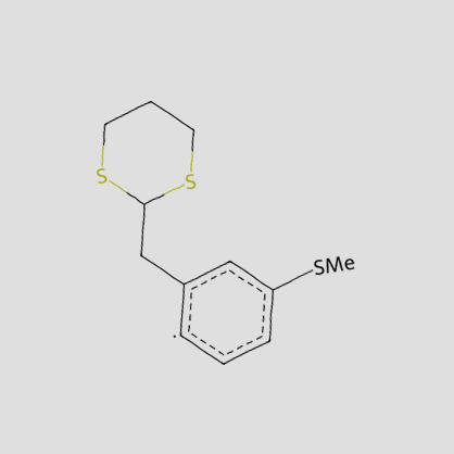 CSc1cc[c]c(CC2SCCCS2)c1